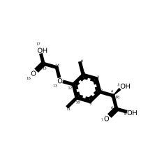 Cc1cc([C@@H](O)C(=O)O)cc(C)c1OCC(=O)O